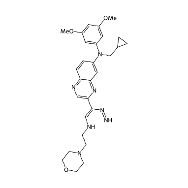 COc1cc(OC)cc(N(CC2CC2)c2ccc3ncc(/C(=C/NCCN4CCOCC4)N=N)nc3c2)c1